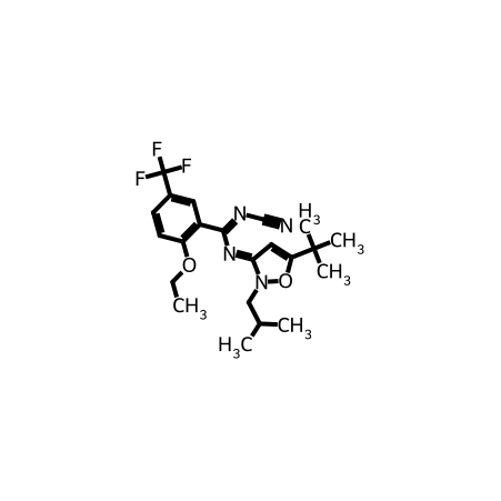 CCOc1ccc(C(F)(F)F)cc1C(=NC#N)N=c1cc(C(C)(C)C)on1CC(C)C